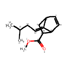 COC(=O)C1CC2C=CC1C2=CCC(C)C